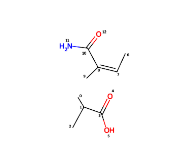 CC(C)C(=O)O.CC=C(C)C(N)=O